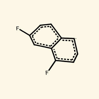 Fc1ccc2[c]ccc(F)c2c1